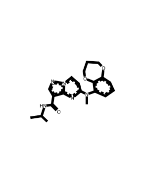 CC(C)NC(=O)c1cnn2ccc(N(C)c3cccc4c3OCCCO4)nc12